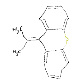 CC(C)=C1c2ccccc2Sc2ccccc21